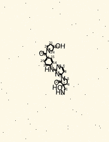 N=C[C@@]1(O)CCN(c2ccnc(Nc3ccc(C(=O)N4CC[C@H](O)C4)cc3)n2)C1=O